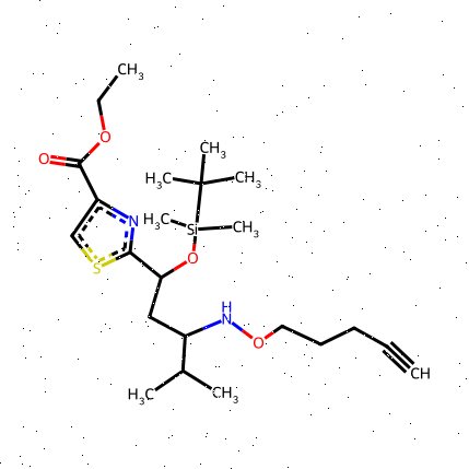 C#CCCCONC(CC(O[Si](C)(C)C(C)(C)C)c1nc(C(=O)OCC)cs1)C(C)C